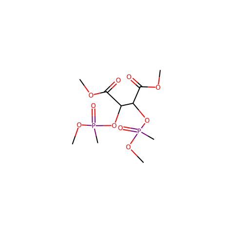 COC(=O)C(OP(C)(=O)OC)C(OP(C)(=O)OC)C(=O)OC